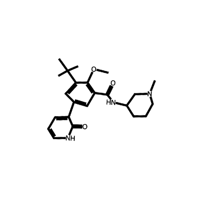 COc1c(C(=O)NC2CCCN(C)C2)cc(-c2ccc[nH]c2=O)cc1C(C)(C)C